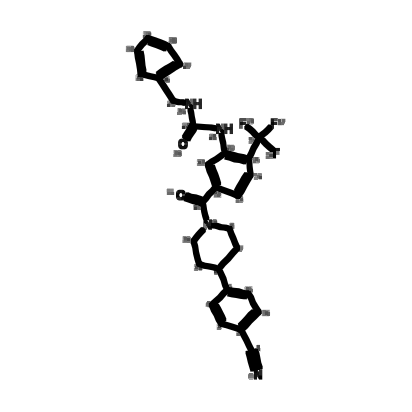 N#Cc1ccc(C2CCN(C(=O)c3ccc(C(F)(F)F)c(NC(=O)NCc4ccccc4)c3)CC2)cc1